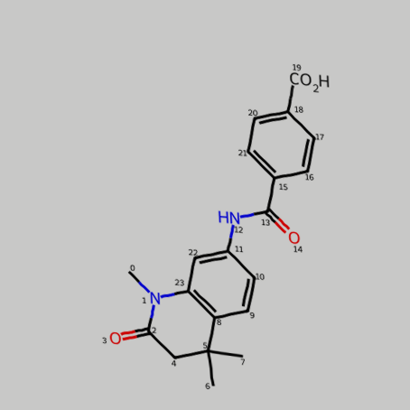 CN1C(=O)CC(C)(C)c2ccc(NC(=O)c3ccc(C(=O)O)cc3)cc21